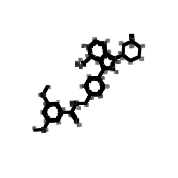 COc1cc(OC)cc(C(=O)NCc2ccc(-c3nn([C@@H]4CCCNC4)c4ncnc(N)c34)cc2)c1